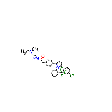 CN(C)CCNC(=O)Cc1ccc(-c2ccc(-c3ccc(Cl)cc3)n2-c2ccccc2C(F)(F)F)cc1